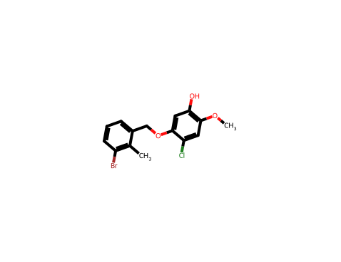 COc1cc(Cl)c(OCc2cccc(Br)c2C)cc1O